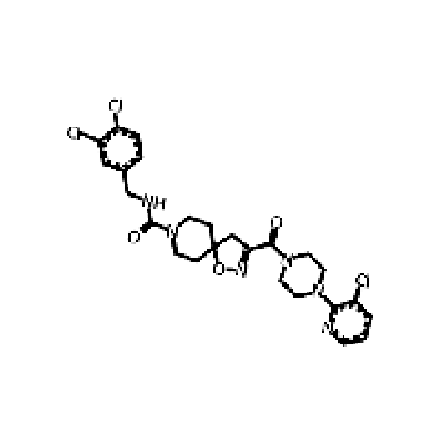 O=C(NCc1ccc(Cl)c(Cl)c1)N1CCC2(CC1)CC(C(=O)N1CCN(c3ncccc3Cl)CC1)=NO2